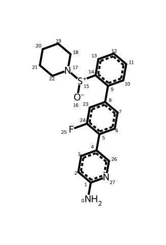 Nc1ccc(-c2ccc(-c3ccccc3[S+]([O-])N3CCCCC3)cc2F)cn1